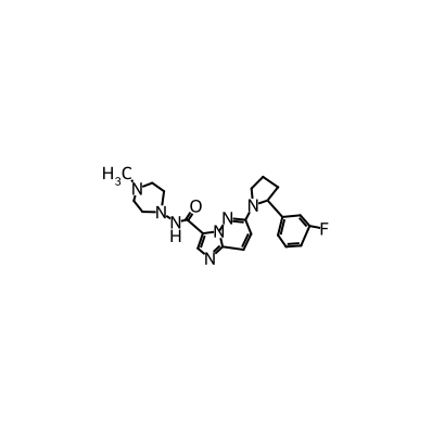 CN1CCN(NC(=O)c2cnc3ccc(N4CCCC4c4cccc(F)c4)nn23)CC1